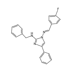 Fc1ccc(/C=N/n2cc(-c3ccccc3)nc2NCc2ccccc2)cc1